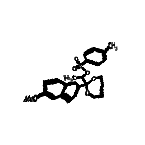 COc1ccc2cc(C3(C(C)OS(=O)(=O)c4ccc(C)cc4)OCC=CCO3)ccc2c1